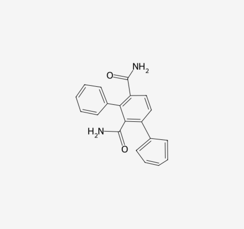 NC(=O)c1ccc(-c2ccccc2)c(C(N)=O)c1-c1ccccc1